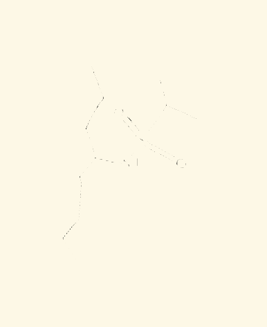 CCCCC(CCC)NS(=O)(=O)C(C)C